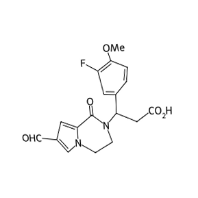 COc1ccc(C(CC(=O)O)N2CCn3cc(C=O)cc3C2=O)cc1F